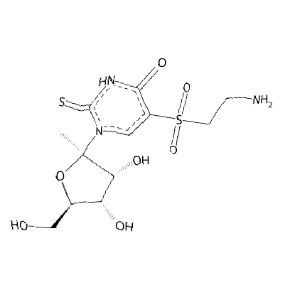 C[C@@]1(n2cc(S(=O)(=O)CCN)c(=O)[nH]c2=S)O[C@H](CO)[C@@H](O)[C@H]1O